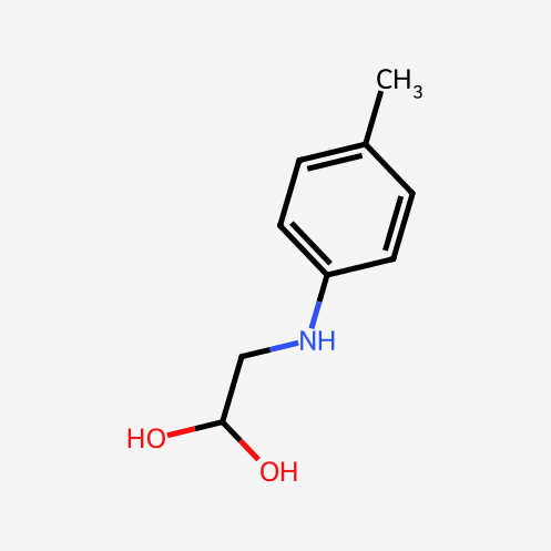 Cc1ccc(NCC(O)O)cc1